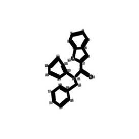 O=C(c1cc2ccccc2o1)N(Cc1ccccc1)c1ccccc1